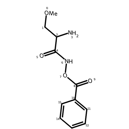 COCC(N)C(=O)NOC(=O)c1ccccc1